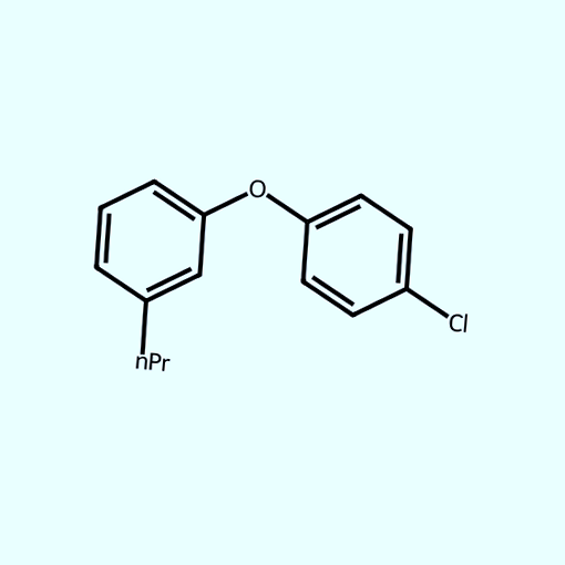 CCCc1cccc(Oc2ccc(Cl)cc2)c1